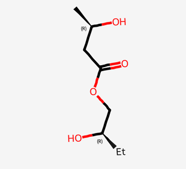 CC[C@@H](O)COC(=O)C[C@@H](C)O